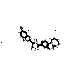 Cc1cc(C(=O)N[C@@H](CO)c2nc3cc(Br)ccc3[nH]2)ccc1N1CCCCOC1=O